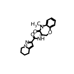 CN1C(=O)[C@@H](NC(=O)c2cc3n(n2)CCCC3)COc2ccccc21